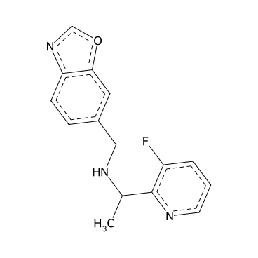 CC(NCc1ccc2ncoc2c1)c1ncccc1F